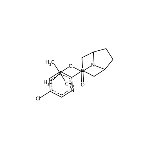 CC(C)(C)OC(=O)N1C2CCC1CN(c1ccc(Cl)cn1)C2